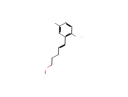 CCOCCC/C=C/c1cc(C(C)(C)C)ccc1OC